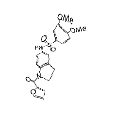 COc1ccc(S(=O)(=O)Nc2ccc3c(c2)CCCN3C(=O)c2ccco2)cc1OC